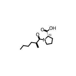 C=C(CCCC)C(=O)N1CCC[C@H]1C(=O)O